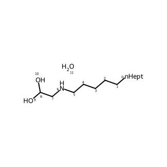 CCCCCCCCCCCCNCC(O)O.O